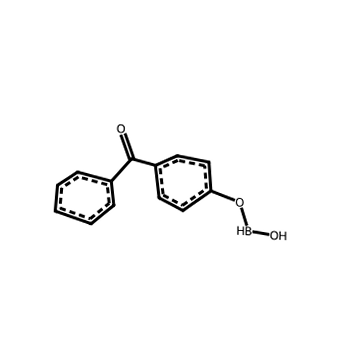 O=C(c1ccccc1)c1ccc(OBO)cc1